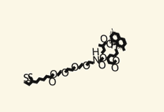 CCC(C)C(=O)O[C@@H]1C[C@H](C)C=C2C=CC(C)[C@H](CCC3CC(OC(=O)NCCOCCOCCOCCOC(=O)CCCCC4CCSS4)CC(=O)O3)[C@@H]21